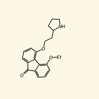 CCOc1cccc2c1-c1c(OCCC3CCCN3)cccc1C2=O